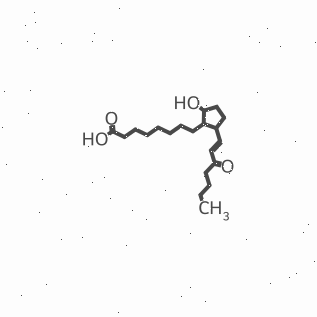 CCCCC(=O)C=CC1CCC(O)C1CCCCCCCC(=O)O